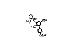 COc1ccc(-c2cc(C(C)(C)C)cc(CNC3(C)CCCC3)c2O)cc1